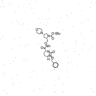 CC(C)(C)OC(=O)N1C[C@@H](N2CCOCC2)C[C@@H]1CONC(=O)[C@@H]1CC[C@@H]2CN1C(=O)N2OCc1ccccc1